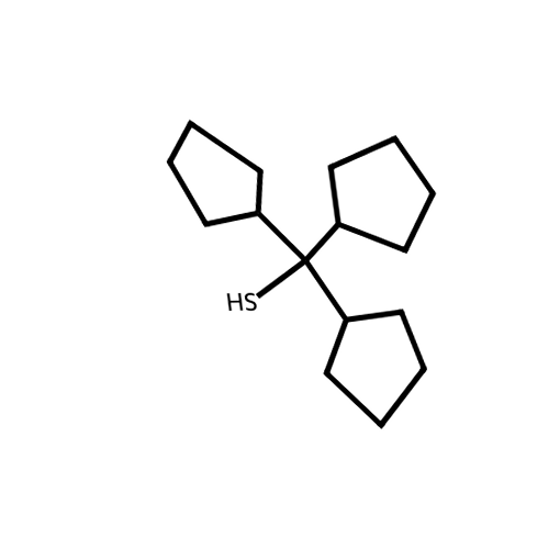 SC(C1CCCC1)(C1CCCC1)C1CCCC1